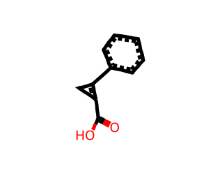 O=C(O)C1=C(c2ccccc2)C1